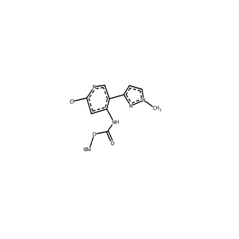 Cn1ccc(-c2cnc(Cl)cc2NC(=O)OC(C)(C)C)n1